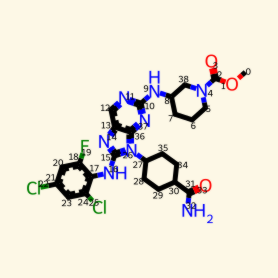 COC(=O)N1CCCC(Nc2ncc3nc(Nc4c(F)cc(Cl)cc4Cl)n(C4CCC(C(N)=O)CC4)c3n2)C1